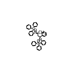 C/C(C/C(=N\O[Si](c1ccccc1)(c1ccccc1)c1ccccc1)c1ccccc1)=N\O[Si](c1ccccc1)(c1ccccc1)c1ccccc1